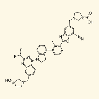 Cc1c(-c2nc3cc(CN4CC[C@@H](C(=O)O)C4)cc(C#N)c3o2)cccc1-c1cccc2c1CCN2c1nc(C(F)F)nc2cc(CN3CC[C@H](O)C3)cnc12